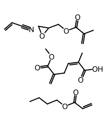 C=C(C)C(=O)OCC1CO1.C=C(CC=C(C)C(=O)O)C(=O)OC.C=CC#N.C=CC(=O)OCCCC